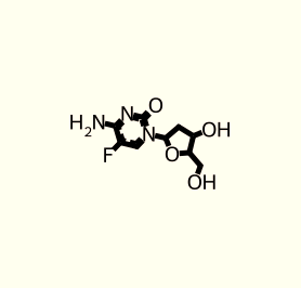 Nc1nc(=O)n(C2CC(O)C(CO)O2)cc1F